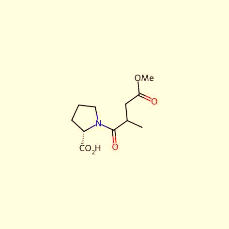 COC(=O)CC(C)C(=O)N1CCC[C@H]1C(=O)O